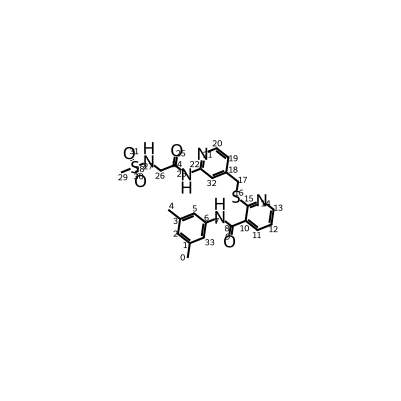 Cc1cc(C)cc(NC(=O)c2cccnc2SCc2ccnc(NC(=O)CNS(C)(=O)=O)c2)c1